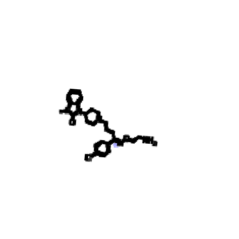 Cn1c(=O)n(C2CCN(CCC/C(=N\OCCN)c3ccc(Cl)cc3)CC2)c2ccccc21